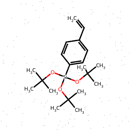 C=Cc1ccc([Si](OC(C)(C)C)(OC(C)(C)C)OC(C)(C)C)cc1